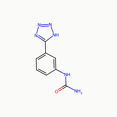 NC(=O)Nc1cccc(-c2nnn[nH]2)c1